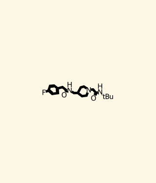 CC(C)(C)NC(=O)CN1CCC(CNC(=O)Cc2ccc(F)cc2)CC1